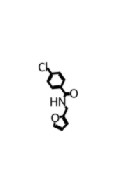 O=C(NCc1ccco1)c1ccc(Cl)cc1